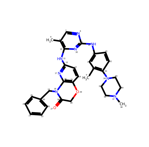 Cc1cc(Nc2ncc(C)c(Nc3ccc4c(n3)N(Cc3ccccc3)C(=O)CO4)n2)ccc1N1CCN(C)CC1